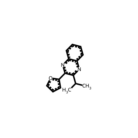 CC(C)c1nc2ccccc2nc1-c1ccco1